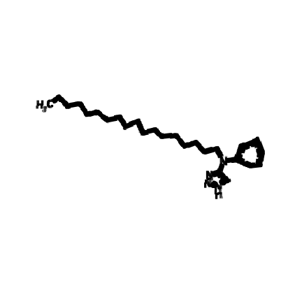 CCCCCCCCCCCCCCCCCCN(c1ccccc1)c1c[nH]nn1